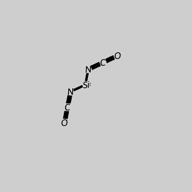 O=C=N[Si]N=C=O